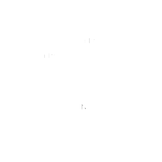 CCCC(CCC)c1ccc(C)nc1